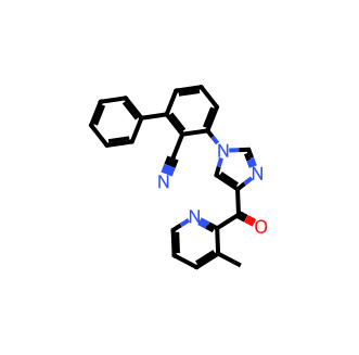 Cc1cccnc1C(=O)c1cn(-c2cccc(-c3ccccc3)c2C#N)cn1